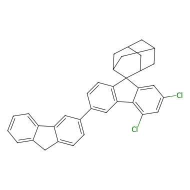 Clc1cc(Cl)c2c(c1)C1(c3ccc(-c4ccc5c(c4)-c4ccccc4C5)cc3-2)C2CC3CC(C2)CC1C3